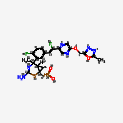 Cc1nnc(COc2cnc(/C(F)=C/c3ccc(F)c([C@@]4(C)N=C(N)S[C@]5(C[SH](=O)=O)C[C@H]54)c3)cn2)o1